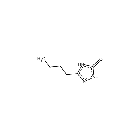 CCCCc1n[nH]c(=O)[nH]1